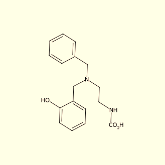 O=C(O)NCCN(Cc1ccccc1)Cc1ccccc1O